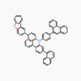 C1=CC(c2ccc3oc4ccccc4c3c2)CC=C1N(c1ccc(-c2cc3ccccc3c3ccccc23)cc1)c1cc(-c2cccc3ccccc23)ccc1-c1ccccc1